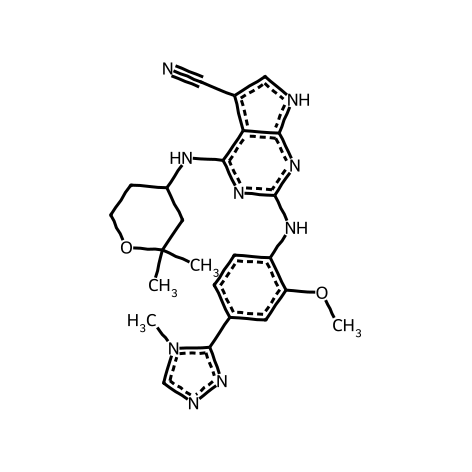 COc1cc(-c2nncn2C)ccc1Nc1nc(NC2CCOC(C)(C)C2)c2c(C#N)c[nH]c2n1